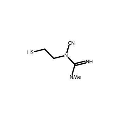 CNC(=N)N(C#N)CCS